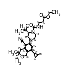 CCOC(=O)CCNC(=O)N1CCN(c2cc(C3CC3)c3c(c2C#N)CC(C)(C)OC3)C[C@H]1C(C)C